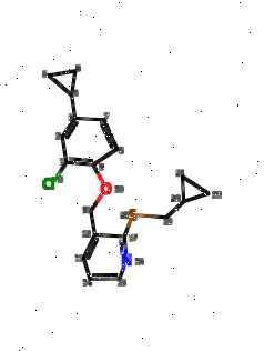 Clc1cc(C2CC2)ccc1OCc1cccnc1SCC1CC1